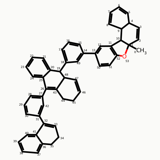 CC12C=CC3C=CC=CC3C1c1cc(-c3cccc(C4c5ccccc5C(c5cccc(C6=CCCc7ccccc76)c5)=C5CCC=CC54)c3)ccc1O2